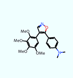 COc1cc(-c2cnoc2-c2ccc(N(C)C)cc2)c(OC)c(OC)c1OC